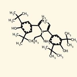 C/C=C(/c1cc(C(C)(C)C)c(O)c(C(C)(C)C)c1)N(/C(=C\C)c1cc(C(C)(C)C)c(O)c(C(C)(C)C)c1)C(N)CC